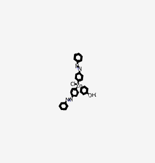 Oc1cc[c]([Zn]([Cl])([c]2ccc(/N=N/c3ccccc3)cc2)[c]2ccc(/N=N/c3ccccc3)cc2)cc1